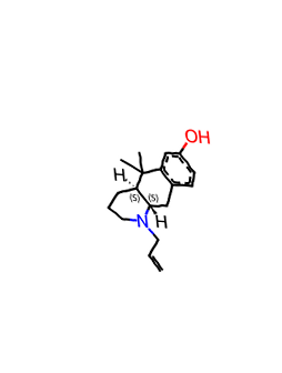 C=CCN1CCC[C@@H]2[C@@H]1Cc1ccc(O)cc1C2(C)C